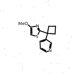 COc1csc(C2(c3cccnc3)CCC2)n1